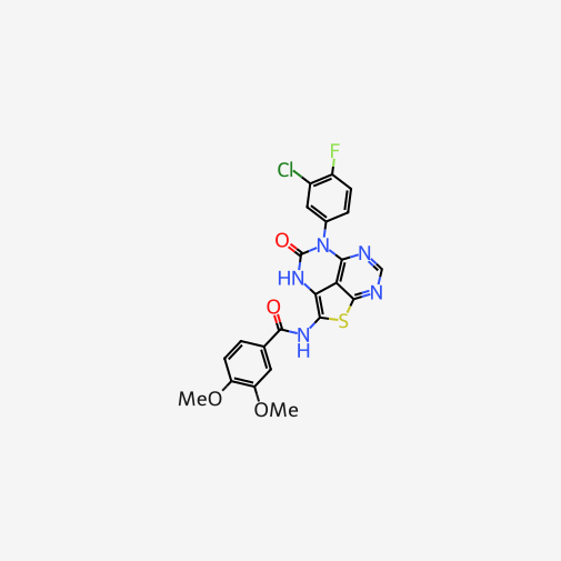 COc1ccc(C(=O)Nc2sc3ncnc4c3c2NC(=O)N4c2ccc(F)c(Cl)c2)cc1OC